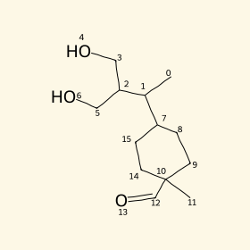 CC(C(CO)CO)C1CCC(C)(C=O)CC1